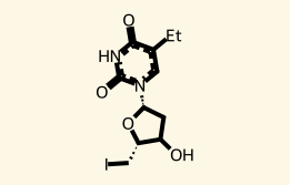 CCc1cn([C@@H]2CC(O)[C@H](CI)O2)c(=O)[nH]c1=O